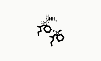 CCCC(C)CC1([15N+](C)(C)NN)CCCCC1.CCCC(C)CC1([15N](C)C)CCCCC1